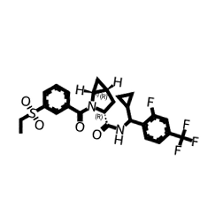 CCS(=O)(=O)c1cccc(C(=O)N2[C@@H](C(=O)NC(c3ccc(C(F)(F)F)cc3F)C3CC3)C[C@H]3C[C@H]32)c1